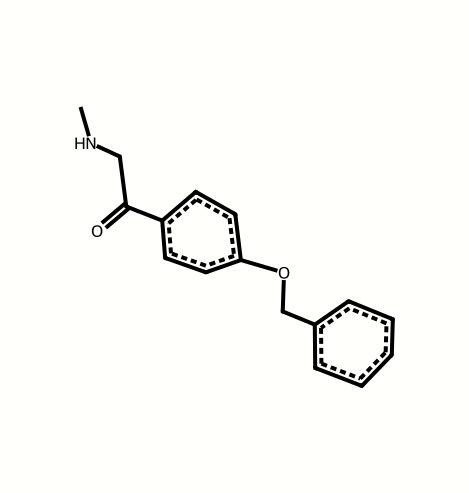 CNCC(=O)c1ccc(OCc2ccccc2)cc1